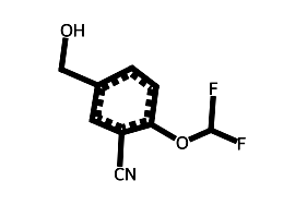 N#Cc1cc(CO)ccc1OC(F)F